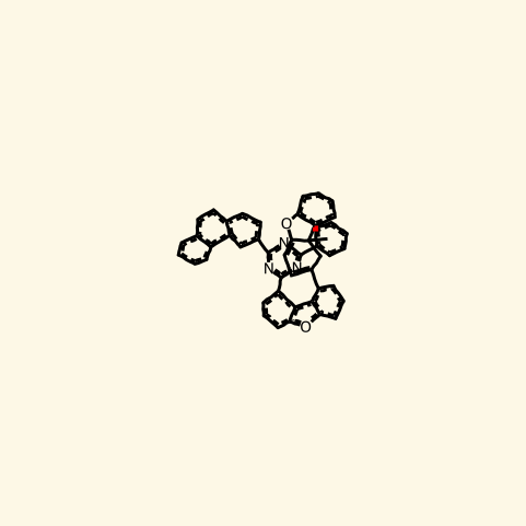 CC12CC(c3cccc4oc5cccc(-c6nc(-c7ccccc7)nc(-c7ccc8ccc9ccccc9c8c7)n6)c5c34)=CC=C1Oc1ccccc12